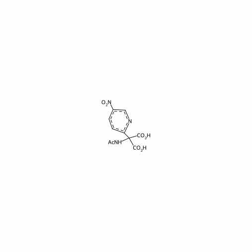 CC(=O)NC(C(=O)O)(C(=O)O)c1ccc([N+](=O)[O-])cn1